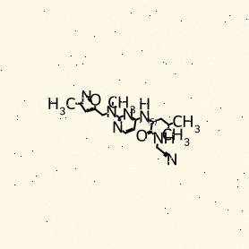 Cc1cc(CN(C)c2nccc(N[C@@H](CC(C)C)C(=O)NCC#N)n2)on1